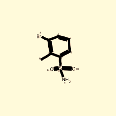 Cc1c(Br)cccc1S(N)(=O)=O